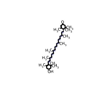 CC1=CC(=O)CC(C)(C)[C@H]1/C=C/C(C)=C/C=C/C(C)=C/C=C/C=C(C)/C=C/C=C(C)/C=C/C1=C(C)C[C@@H](O)CC1(C)C